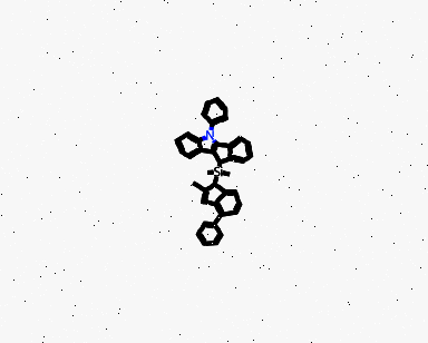 CC1=Cc2c(-c3ccccc3)cccc2C1[Si](C)(C)C1c2ccccc2-c2c1c1ccccc1n2-c1ccccc1